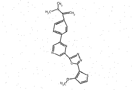 C=C(c1ccc(-c2cncc(-c3nnc(-c4sccc4OC)o3)n2)cc1)N(C)C